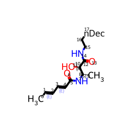 C/C=C/C=C/C(=O)N[C@@H](C)[C@@H](O)C(=O)NCCCCCCCCCCCC